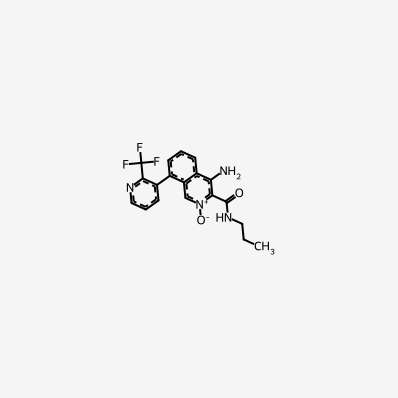 CCCNC(=O)c1c(N)c2cccc(-c3cccnc3C(F)(F)F)c2c[n+]1[O-]